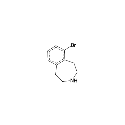 Brc1cccc2c1CCNCC2